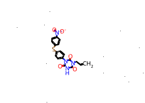 C=CCn1c(=O)[nH]c(=O)n(-c2ccc(Sc3ccc([N+](=O)[O-])cc3)cc2)c1=O